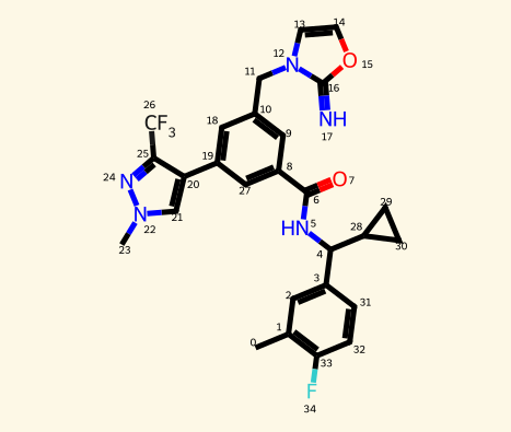 Cc1cc(C(NC(=O)c2cc(Cn3ccoc3=N)cc(-c3cn(C)nc3C(F)(F)F)c2)C2CC2)ccc1F